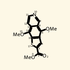 COC(=O)c1cc2c(OC)c3cnccc3c(OC)c2s1